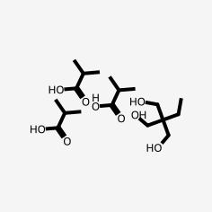 CC(C)C(=O)O.CC(C)C(=O)O.CC(C)C(=O)O.CCC(CO)(CO)CO